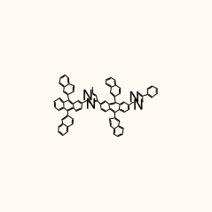 Cc1cc(-c2ccc3c(-c4ccc5ccccc5c4)c4ccc(-c5ncc(-c6ccccc6)cn5)cc4c(-c4ccc5ccccc5c4)c3c2)nc(-c2ccc3c(-c4ccc5ccccc5c4)c4ccccc4c(-c4ccc5ccccc5c4)c3c2)n1